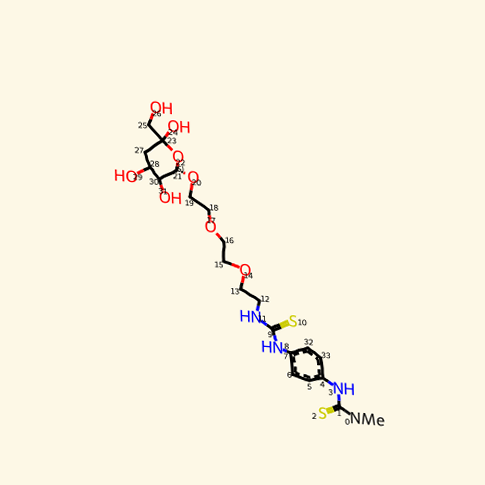 CNC(=S)Nc1ccc(NC(=S)NCCOCCOCCO[C@H]2OC(O)(CO)CC(O)C2O)cc1